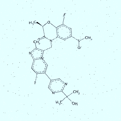 Cc1nc2cc(F)c(-c3cnc(C(C)(C)O)nc3)cn2c1CN1C(=O)[C@@H](C)Oc2c(F)cc([S+](C)[O-])cc21